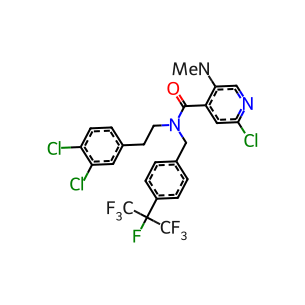 CNc1cnc(Cl)cc1C(=O)N(CCc1ccc(Cl)c(Cl)c1)Cc1ccc(C(F)(C(F)(F)F)C(F)(F)F)cc1